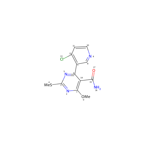 COc1nc(SC)nc(-c2cnccc2Cl)c1C(N)=O